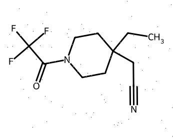 CCC1(CC#N)CCN(C(=O)C(F)(F)F)CC1